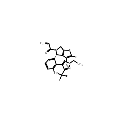 C=CC(=O)N1Cc2sc(Cl)c(C)c2[C@@H]1c1cccc(F)c1-c1cn(CC)nc1C(F)(F)F